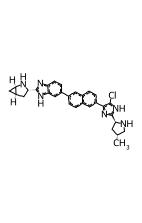 C[C@H]1CN[C@H](c2nc(-c3ccc4cc(-c5ccc6nc([C@@H]7C[C@H]8C[C@H]8N7)[nH]c6c5)ccc4c3)c(Cl)[nH]2)C1